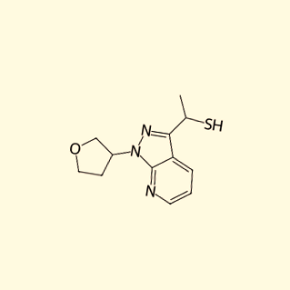 CC(S)c1nn(C2CCOC2)c2ncccc12